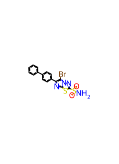 NS(=O)(=O)c1nn2c(Br)c(-c3ccc(-c4ccccc4)cc3)nc2s1